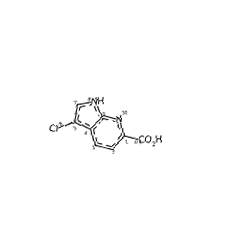 O=C(O)c1ccc2c(Cl)c[nH]c2n1